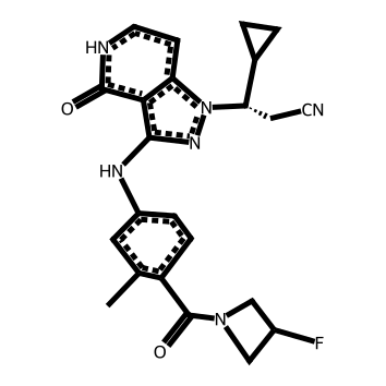 Cc1cc(Nc2nn([C@@H](CC#N)C3CC3)c3cc[nH]c(=O)c23)ccc1C(=O)N1CC(F)C1